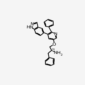 N[C@H](COc1cnc(-c2ccccc2)c(-c2ccc3[nH]ncc3c2)c1)Cc1ccccc1